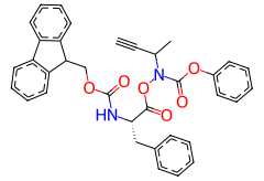 C#CC(C)N(OC(=O)[C@H](Cc1ccccc1)NC(=O)OCC1c2ccccc2-c2ccccc21)C(=O)Oc1ccccc1